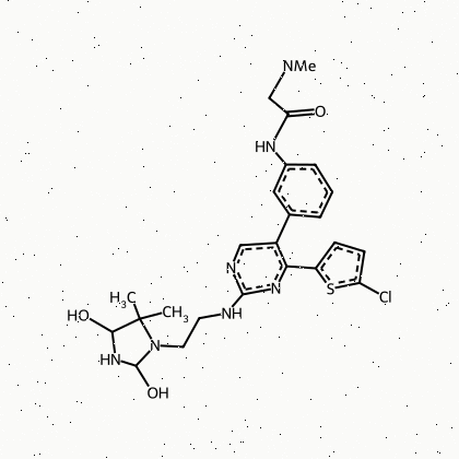 CNCC(=O)Nc1cccc(-c2cnc(NCCN3C(O)NC(O)C3(C)C)nc2-c2ccc(Cl)s2)c1